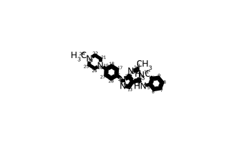 Cc1nc(Nc2ccccc2C)c2cnn(-c3ccc(N4CCN(C)CC4)cc3)c2n1